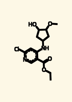 CCOC(=O)c1cnc(Cl)cc1NC1CC(O)C(OC)C1